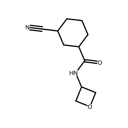 N#CC1CCCC(C(=O)NC2COC2)C1